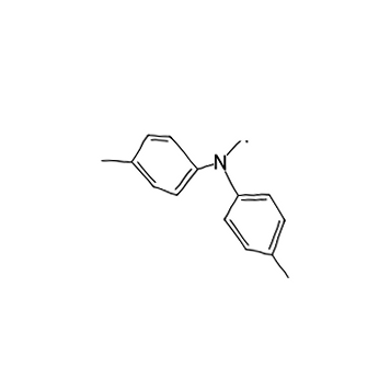 [CH2]N(c1ccc(C)cc1)c1ccc(C)cc1